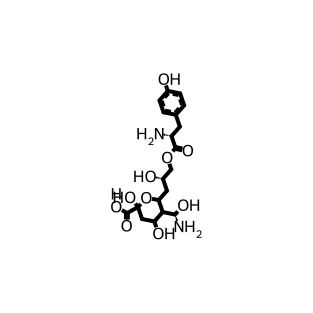 N[C@H](Cc1ccc(O)cc1)C(=O)OC[C@@H](O)CC1OC(O)(C(=O)O)CC(O)C1[C@@H](N)O